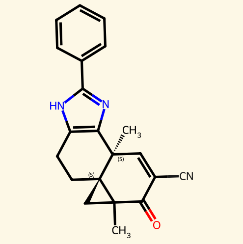 CC12C[C@]13CCc1[nH]c(-c4ccccc4)nc1[C@@]3(C)C=C(C#N)C2=O